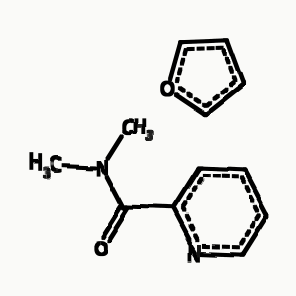 CN(C)C(=O)c1ccccn1.c1ccoc1